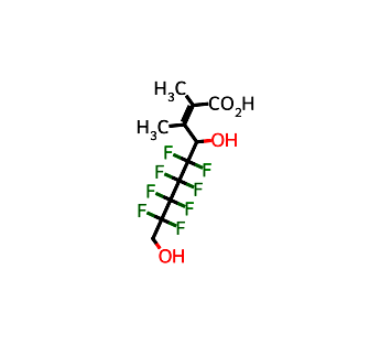 CC(C(=O)O)=C(C)C(O)C(F)(F)C(F)(F)C(F)(F)C(F)(F)CO